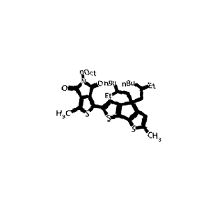 CCCCCCCCN1C(=O)c2c(C)sc(-c3cc4c(s3)-c3sc(C)cc3C4(CC(CC)CCCC)CC(CC)CCCC)c2C1=O